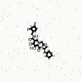 O=C(NCc1ccc(F)cc1F)c1cn2c(c(O)c1=O)C(=O)N1C(C2)OC[C@H]1Cc1ccccc1